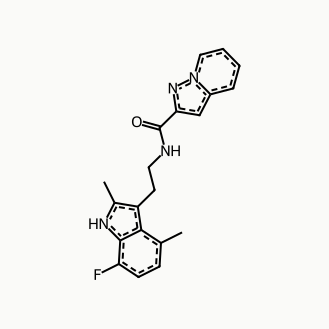 Cc1[nH]c2c(F)ccc(C)c2c1CCNC(=O)c1cc2ccccn2n1